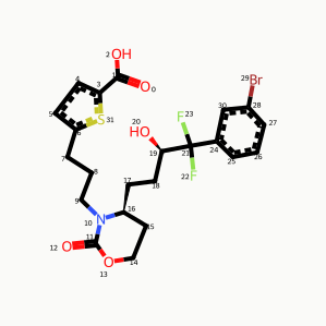 O=C(O)c1ccc(CCCN2C(=O)OCC[C@@H]2CC[C@@H](O)C(F)(F)c2cccc(Br)c2)s1